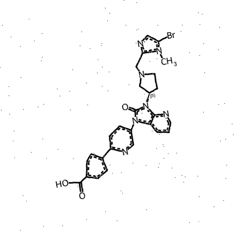 Cn1c(Br)cnc1CN1CC[C@@H](n2c(=O)n(-c3ccc(-c4ccc(C(=O)O)cc4)nc3)c3cccnc32)C1